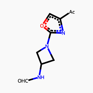 CC(=O)c1coc(N2CC(NC=O)C2)n1